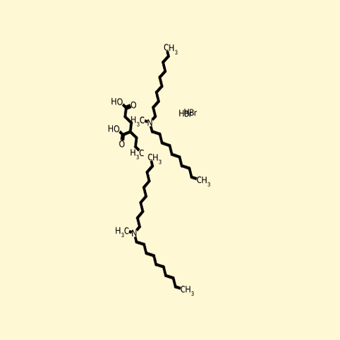 Br.Br.CCCC(CCC(=O)O)C(=O)O.CCCCCCCCCCN(C)CCCCCCCCCC.CCCCCCCCCCN(C)CCCCCCCCCC